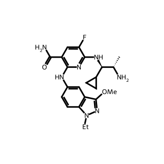 CCn1nc(OC)c2cc(Nc3nc(N[C@H](C4CC4)[C@H](C)N)c(F)cc3C(N)=O)ccc21